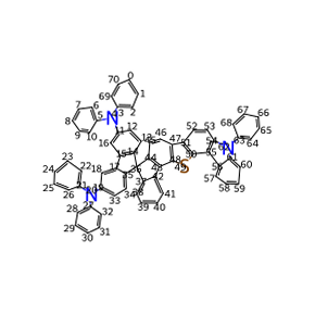 c1ccc(N(c2ccccc2)c2ccc3c(c2)-c2cc(N(c4ccccc4)c4ccccc4)ccc2C32c3ccccc3-c3c2ccc2c3sc3c2ccc2c3c3ccccc3n2-c2ccccc2)cc1